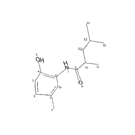 Cc1ccc(O)c(NC(=O)C(C)CC(C)C)c1